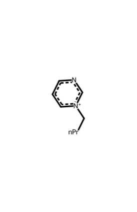 CCCC[n+]1cccnc1